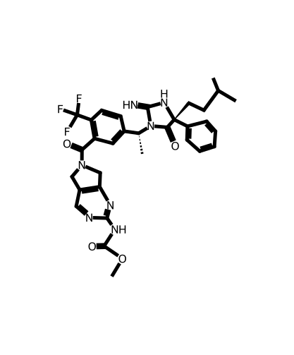 COC(=O)Nc1ncc2c(n1)CN(C(=O)c1cc([C@@H](C)N3C(=N)N[C@](CCC(C)C)(c4ccccc4)C3=O)ccc1C(F)(F)F)C2